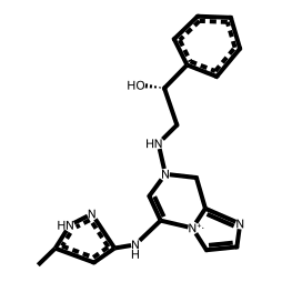 Cc1cc(NC2=CN(NC[C@H](O)c3ccccc3)CC3=NC=C[N+]23)n[nH]1